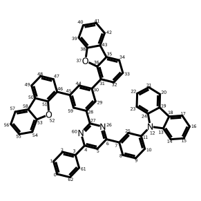 c1ccc(-c2cc(-c3cccc(-n4c5ccccc5c5ccccc54)c3)nc(-c3cc(-c4cccc5c4oc4ccccc45)cc(-c4cccc5c4oc4ccccc45)c3)n2)cc1